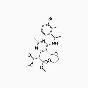 COC(=O)C(C(=O)OC)c1nc(C)nc(N[C@H](C)c2cccc(Br)c2C)c1C1OCCO1